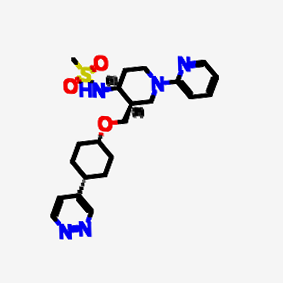 CS(=O)(=O)N[C@H]1CCN(c2ccccn2)C[C@H]1CO[C@H]1CC[C@@H](c2ccnnc2)CC1